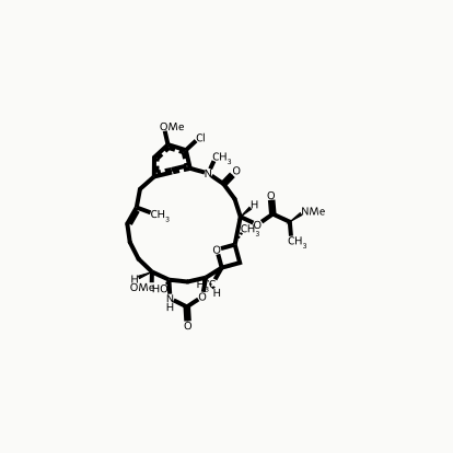 CN[C@@H](C)C(=O)O[C@H]1CC(=O)N(C)c2cc(cc(OC)c2Cl)C/C(C)=C/CC[C@@H](OC)[C@@]2(O)C[C@H](OC(=O)N2)C2(C)C[C@@]1(C)O2